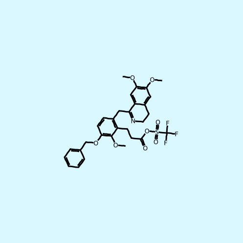 COc1cc2c(cc1OC)C(Cc1ccc(OCc3ccccc3)c(OC)c1CCC(=O)OS(=O)(=O)C(F)(F)F)=NCC2